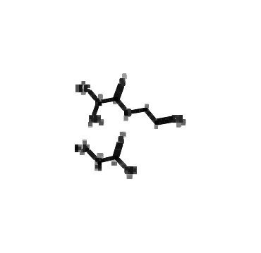 C=CCOC(=S)N(C)N.NNC(O)=S